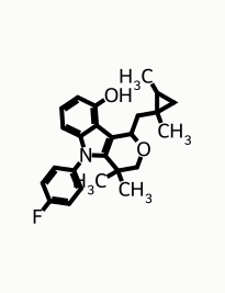 CC1CC1(C)CC1OCC(C)(C)c2c1c1c(O)cccc1n2-c1ccc(F)cc1